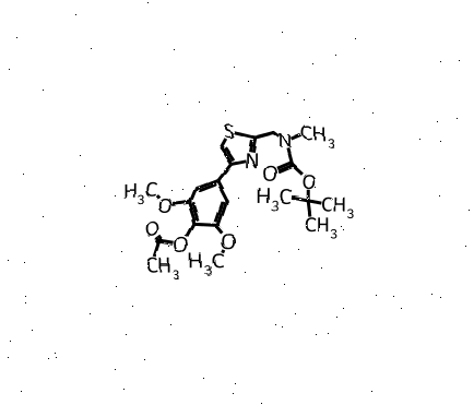 COc1cc(-c2csc(CN(C)C(=O)OC(C)(C)C)n2)cc(OC)c1OC(C)=O